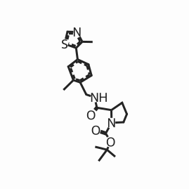 Cc1cc(-c2scnc2C)ccc1CNC(=O)C1CCCN1C(=O)OC(C)(C)C